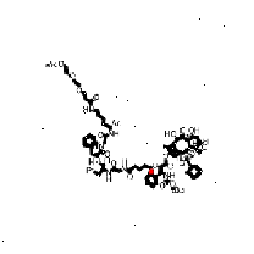 COCCOCCOCCC(=O)NCCCCC(NC(=O)CNC(=O)C(Cc1ccccc1)NC(=O)C(CC(C)C)NC(=O)CNC(=O)CCCC(=O)O[C@@H](C(=O)O[C@H]1C[C@H]2[C@@H](OC(=O)c3ccccc3)[C@@H]3[C@]4(OC(C)=O)CO[C@@H]4C[C@H](O)[C@@]3(C)C(=O)C(O)C(=C1C)C2(C)C)[C@@H](NC(=O)OC(C)(C)C)c1ccccc1)C(C)=O